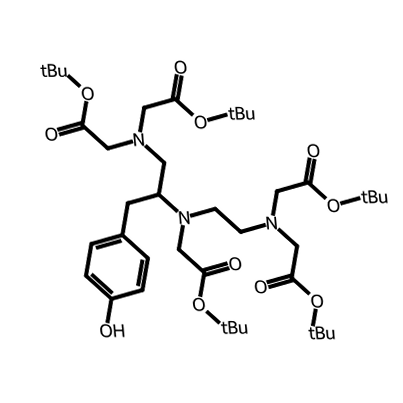 CC(C)(C)OC(=O)CN(CCN(CC(=O)OC(C)(C)C)C(Cc1ccc(O)cc1)CN(CC(=O)OC(C)(C)C)CC(=O)OC(C)(C)C)CC(=O)OC(C)(C)C